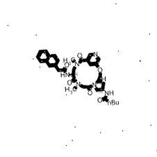 CCCCC(=O)N[C@H]1C[C@H]2COc3cncc(c3)C(=O)N(C)C[C@H](NC(=O)Cc3ccc4ccccc4c3)C(=O)N(C)CC(=O)N2C1